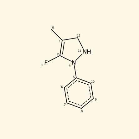 CC1=C(F)N(c2ccccc2)NC1